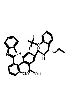 CCC[C@H](NC(=O)c1ccc(-c2c(Cl)cccc2-c2nc3ccccc3[nH]2)c(C(=O)O)c1)c1ccccc1OC(F)(F)F